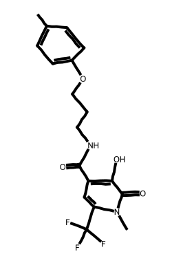 Cc1ccc(OCCCNC(=O)c2cc(C(F)(F)F)n(C)c(=O)c2O)cc1